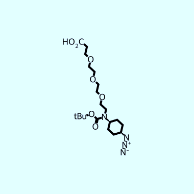 CC(C)(C)OC(=O)N(CCOCCOCCOCCC(=O)O)[C@H]1CC[C@@H](N=[N+]=[N-])CC1